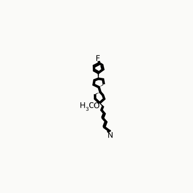 CO[C@]1(CCC=CC=CC#N)CC[C@H]([C@H]2CC[C@H](c3ccc(F)cc3)CC2)CC1